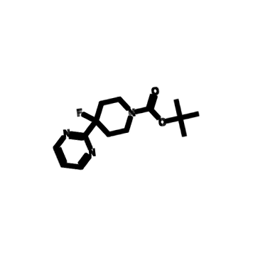 CC(C)(C)OC(=O)N1CCC(F)(c2ncccn2)CC1